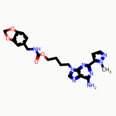 Cn1nccc1-c1nc(N)c2ncn(CCCCOC(=O)NCc3ccc4c(c3)OCO4)c2n1